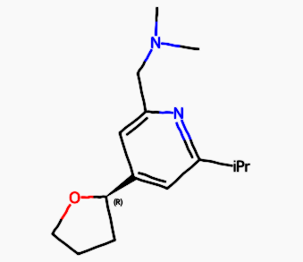 CC(C)c1cc([C@H]2CCCO2)cc(CN(C)C)n1